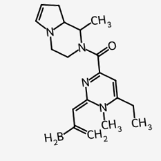 BC(=C)/C=C1/N=C(C(=O)N2CCN3C=CCC3C2C)C=C(CC)N1C